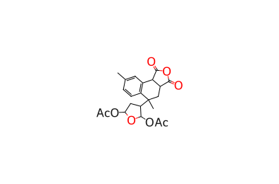 CC(=O)OC1CC(C2(C)CC3C(=O)OC(=O)C3c3cc(C)ccc32)C(OC(C)=O)O1